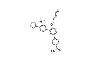 CC(C)(C)c1cc(-c2cc(-c3ccc(C(N)=O)cc3)ccc2OCCOC=O)ccc1N1CCCC1